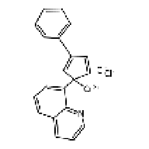 [Cl-].[Cl-].[Cr+2][C]1(c2cccc3cccnc23)C=CC(c2ccccc2)=C1